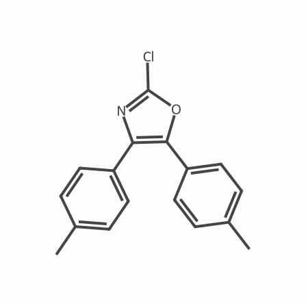 Cc1ccc(-c2nc(Cl)oc2-c2ccc(C)cc2)cc1